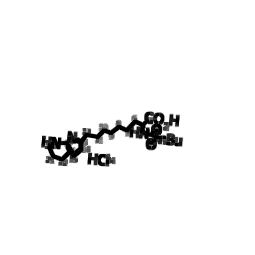 CCCCS(=O)(=O)N[C@@H](CCCCCCCc1ccc2c(n1)NCCC2)C(=O)O.Cl